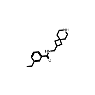 CCc1cccc(C(=O)NCC2CC3(CCNCC3)C2)c1